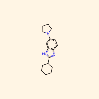 c1cc2nc(C3CCCCC3)[nH]c2cc1N1CCCC1